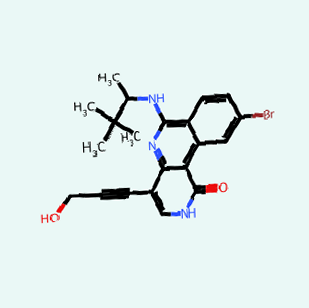 CC(Nc1nc2c(C#CCO)c[nH]c(=O)c2c2cc(Br)ccc12)C(C)(C)C